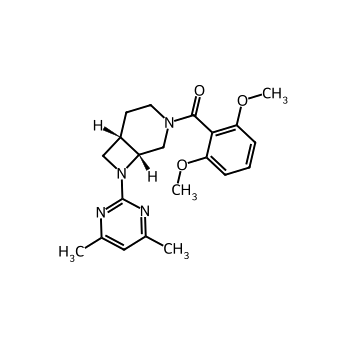 COc1cccc(OC)c1C(=O)N1CC[C@H]2CN(c3nc(C)cc(C)n3)[C@H]2C1